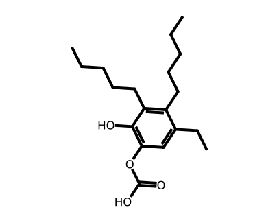 CCCCCc1c(CC)cc(OC(=O)O)c(O)c1CCCCC